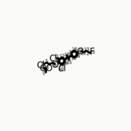 CC(=O)OC(CCl)COc1c(Cl)cc(C(C)(C)c2ccc(OCCCF)cc2)cc1Cl